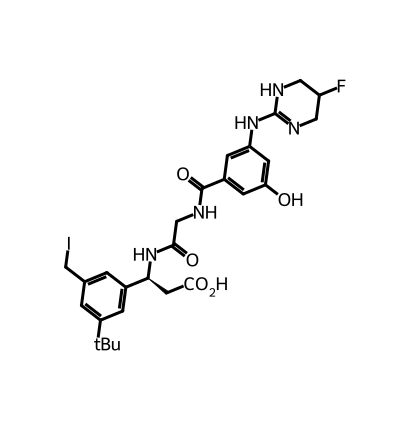 CC(C)(C)c1cc(CI)cc([C@H](CC(=O)O)NC(=O)CNC(=O)c2cc(O)cc(NC3=NCC(F)CN3)c2)c1